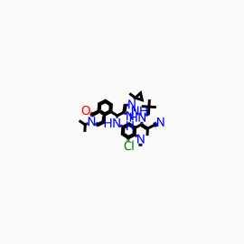 C=Nc1c(Cl)cc(N[C@H](C2=CN(C3(C)CC3)NN2)c2cccc3c(=O)n(C(C)C)ccc23)cc1/C(NCC(C)(C)C)=C(\C)C#N